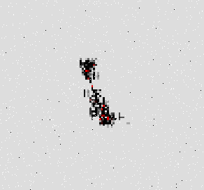 COC(=O)C(CCC(=O)NCCCCCCCCNc1cccc2c1C(=O)N(C1CCC(=O)NC1=O)C2=O)NC(=O)CCC(NC(=O)c1ccc(N(C)Cc2cnc3nc(N)nc(N)c3n2)cc1)C(=O)OC